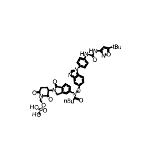 CCCCC(=O)N(Oc1ccc2c(c1)ncn2-c1ccc(NC(=O)Nc2cc(C(C)(C)C)on2)cc1)c1ccc2c(c1)CN(C1CCC(=O)N(COP(=O)(O)O)C1=O)C2=O